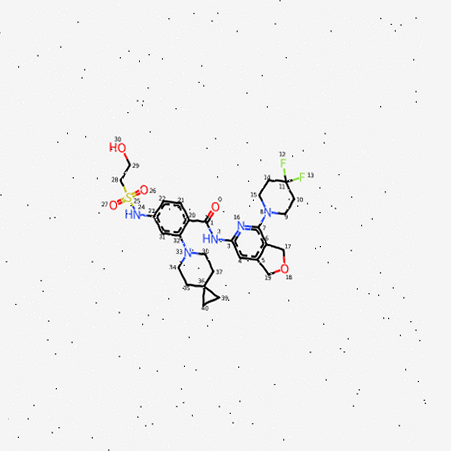 O=C(Nc1cc2c(c(N3CCC(F)(F)CC3)n1)COC2)c1ccc(NS(=O)(=O)CCO)cc1N1CCC2(CC1)CC2